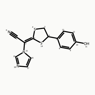 N#CC(=C1SCC(c2ccc(O)cc2)S1)n1ccnc1